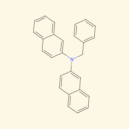 c1ccc(CN(c2ccc3ccccc3c2)c2ccc3ccccc3c2)cc1